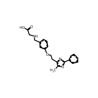 Cc1oc(-c2ccccc2)nc1CCOc1cccc(CNCC(=O)O)c1